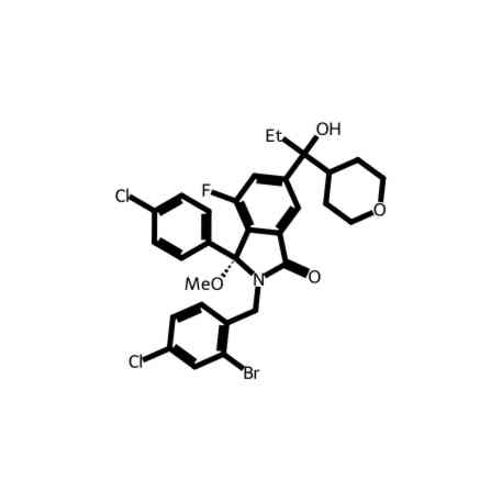 CCC(O)(c1cc(F)c2c(c1)C(=O)N(Cc1ccc(Cl)cc1Br)[C@@]2(OC)c1ccc(Cl)cc1)C1CCOCC1